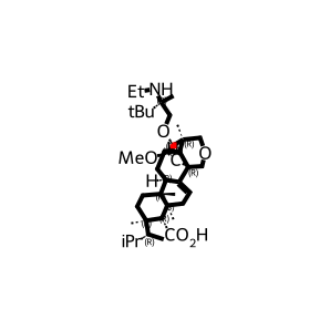 CCN[C@@](C)(CO[C@H]1[C@H](OC)C[C@@]23COC[C@@]1(C)[C@@H]2CC[C@H]1C3=CC[C@@]2(C)[C@H](C(=O)O)[C@@](C)([C@H](C)C(C)C)CC[C@]12C)C(C)(C)C